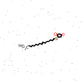 O=C(O)CCCCCCCCCCCCCCCSC1CC(=O)CC1=O